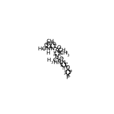 COc1ncc(C(=O)N2CCN([C@@H](C)C(=O)Nc3ccc(Oc4ccc(F)cc4)cn3)CC2(C)C)nc1NC(=O)O